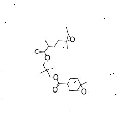 CC(CCC1(C)OC1C)C(=O)OCC(C)(C)COC(=O)C1CCC2(C)OC2C1